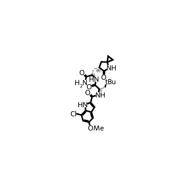 COc1cc(Cl)c2[nH]c(C(=O)N[C@@H](CC(C)(C)C)C(=O)N[C@@H](C[C@@H]3CC4(CC4)NC3=O)C(N)=O)cc2c1